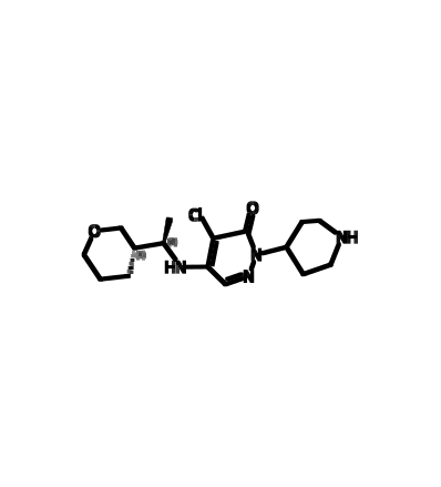 C[C@@H](Nc1cnn(C2CCNCC2)c(=O)c1Cl)[C@@H]1CCCOC1